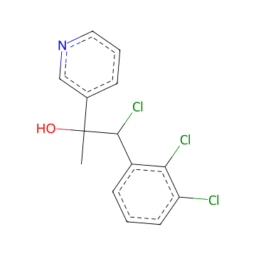 CC(O)(c1cccnc1)C(Cl)c1cccc(Cl)c1Cl